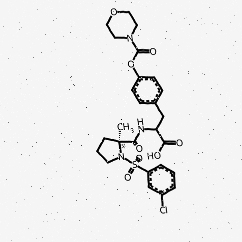 C[C@@]1(C(=O)NC(Cc2ccc(OC(=O)N3CCOCC3)cc2)C(=O)O)CCCN1S(=O)(=O)c1cccc(Cl)c1